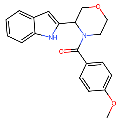 COc1ccc(C(=O)N2CCOCC2c2cc3ccccc3[nH]2)cc1